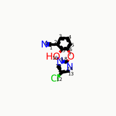 N#Cc1cccc(Oc2ncc(Cl)cn2)c1O